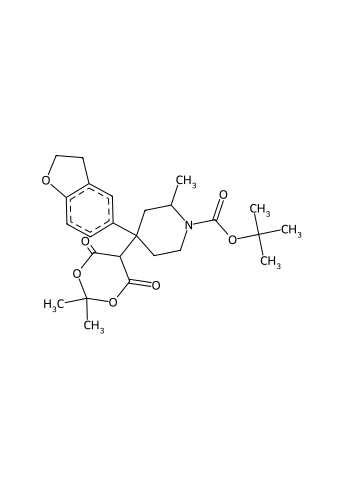 CC1CC(c2ccc3c(c2)CCO3)(C2C(=O)OC(C)(C)OC2=O)CCN1C(=O)OC(C)(C)C